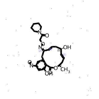 C[C@@H]1C/C=C/[C@@H](O)C/C=C/C(=N\OCC(=O)N2CCCCC2)Cc2cc(N=O)cc(O)c2C(=O)O1